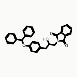 O=C1c2ccccc2C(=O)N1CC(O)Cc1ccc(OC(c2ccccc2)c2ccccc2)cc1